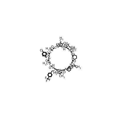 CC[C@H](C)[C@@H]1NC(=O)[C@H](C(C)C)N(C)C(=O)C[C@H]2CCCCN2C(=O)[C@H](CC(C)C)N(C)C(=O)C2(CCCC2)NC(=O)[C@H](CC(C)C)N(C)C(=O)[C@H](CCc2ccc(C(F)(F)F)cc2)NC(=O)CN(C)C(=O)[C@H](Cc2ccc(Cl)cc2)N(C)C(=O)CN(C)C(=O)CN(C)C1=O